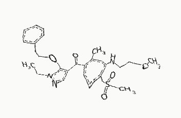 CCn1ncc(C(=O)c2ccc(S(C)(=O)=O)c(NCCOC)c2C)c1OCc1ccccc1